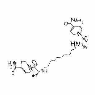 CC(C)C(NCCCCCCCCCCNC(C(=O)N1C=CC(C(N)=O)=CC1)C(C)C)C(=O)N1C=CC(C(N)=O)=CC1